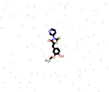 CCOc1cc(/C=C2\SC(=S)N(c3cccnc3)C2=O)ccc1O